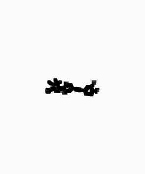 CN1C(=O)NC(c2ncc(C#Cc3ccc(F)c(F)c3)cn2)C1(C)C